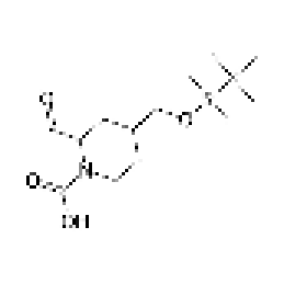 CC(C)(C)[Si](C)(C)OCC1CCN(C(=O)O)C(C=O)C1